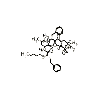 CCCCCS[C@@H](CCc1ccccc1)C(=O)N[C@@H](CC(C)C)C(=S)N[C@@H](Cc1ccccc1)C(=O)N[C@@H](CC(C)C)C(=O)[C@@]1(C)CO1